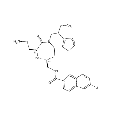 CCC(CN1CC[C@@H](CNC(=O)c2ccc3cc(Cl)ccc3c2)N[C@@H](CCN)C1=O)c1ccsc1